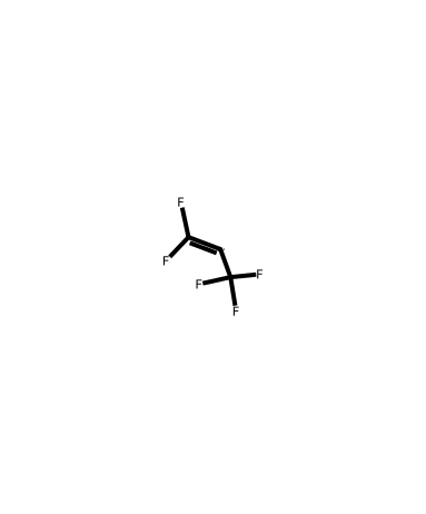 FC(F)=[C]C(F)(F)F